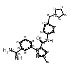 Cc1cc(C(=O)Nc2ccc(CN3CCCC3)cc2)n(-c2cccc(C(=N)N)c2)n1